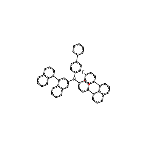 Fc1ccc(-c2cccc3cccc(-c4ccc(N(c5ccc(-c6ccccc6)cc5)c5cc(-c6cccc7ccccc67)c6ccccc6c5)cc4)c23)cc1